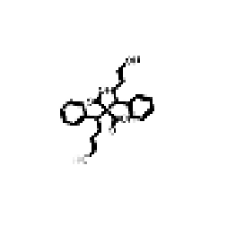 O=C(O)C(C(=O)O)(C(CC=CO)c1ccccc1)C(CC=CO)c1ccccc1